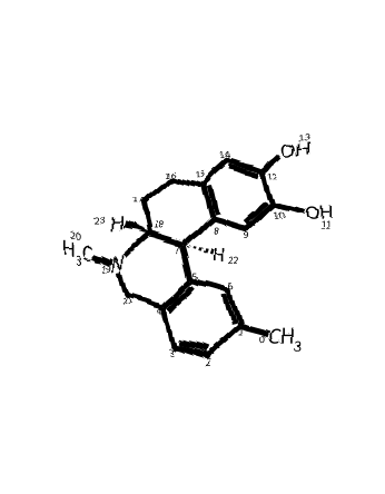 Cc1ccc2c(c1)[C@@H]1c3cc(O)c(O)cc3CC[C@H]1N(C)C2